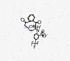 O=C1/C=C(O)/C=C\C(Nc2ccc(C(F)(F)F)cc2[N+](=O)[O-])=C\C(=O)c2ccccc21